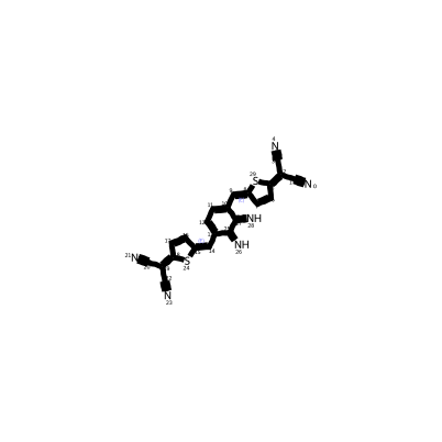 N#CC(C#N)=c1cc/c(=C\C2=CC=C(/C=c3\ccc(=C(C#N)C#N)s3)C(=N)C2=N)s1